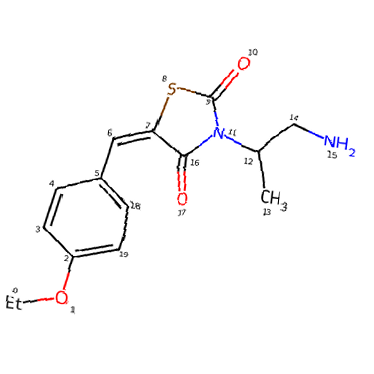 CCOc1ccc(C=C2SC(=O)N(C(C)CN)C2=O)cc1